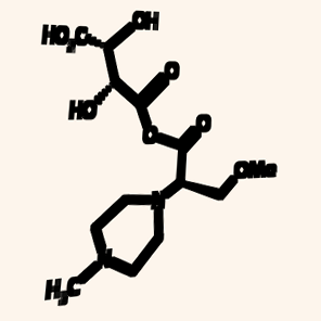 COC[C@H](C(=O)OC(=O)[C@H](O)[C@@H](O)C(=O)O)N1CCN(C)CC1